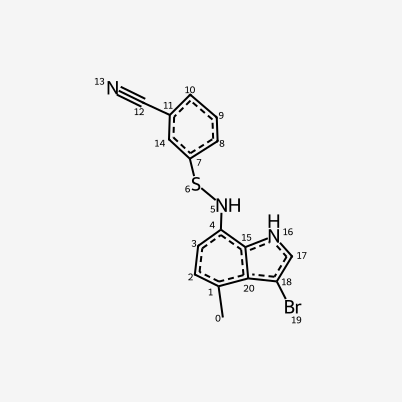 Cc1ccc(NSc2cccc(C#N)c2)c2[nH]cc(Br)c12